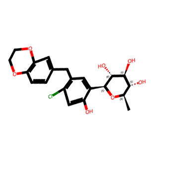 C[C@H]1O[C@@H](c2cc(Cc3ccc4c(c3)OCCO4)c(Cl)cc2O)[C@H](O)[C@@H](O)[C@@H]1O